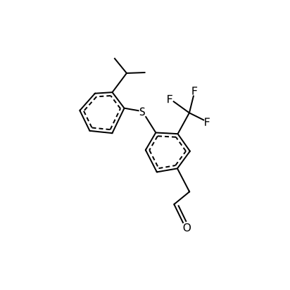 CC(C)c1ccccc1Sc1ccc(CC=O)cc1C(F)(F)F